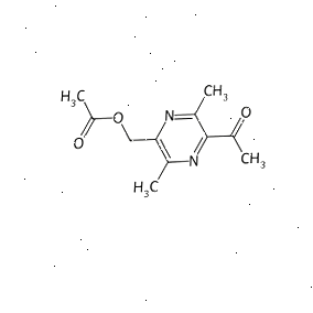 CC(=O)OCc1nc(C)c(C(C)=O)nc1C